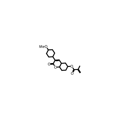 C=C(C)C(=O)OC1CCC2OC(=O)C(C3CCC(OC)CC3)=CC2C1